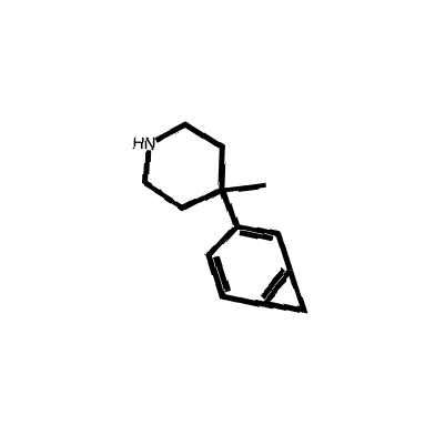 CC1(c2ccc3c(c2)C3)CCNCC1